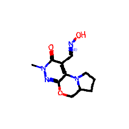 Cn1nc2c(c(/C=N/O)c1=O)N1CCCC1CO2